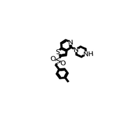 Cc1ccc(CS(=O)(=O)c2cc3c(N4CCNCC4)nccc3s2)cc1